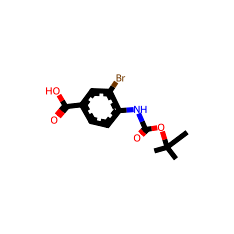 CC(C)(C)OC(=O)Nc1ccc(C(=O)O)cc1Br